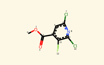 COC(=O)c1cc(Cl)nc(Cl)c1F